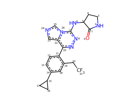 O=C1NCCC1Nc1nnc(-c2ccc(C3CC3)cc2CC(F)(F)F)c2cncn12